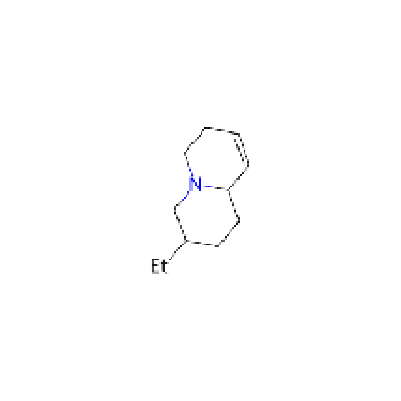 CCC1CCC2C=CCCN2C1